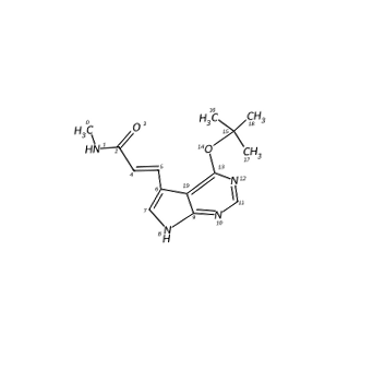 CNC(=O)C=Cc1c[nH]c2ncnc(OC(C)(C)C)c12